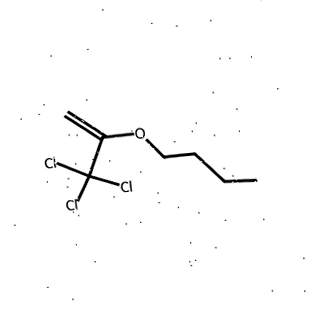 C=C(OCCCC)C(Cl)(Cl)Cl